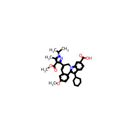 COC(=O)c1c(C2=Cc3cc(OC)ccc3-c3c(C4CCCCC4)c4ccc(C(=O)O)cc4n3C2)nn(C(C)C)c1C